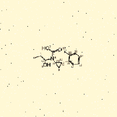 CCC(O)N(C(=O)O)[C@H]1C[C@H]1c1ccccc1I